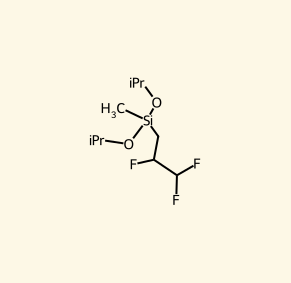 CC(C)O[Si](C)(CC(F)C(F)F)OC(C)C